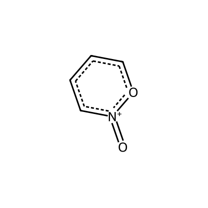 O=[n+]1cccco1